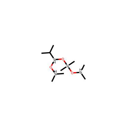 CC(C)[SiH](O[SiH](C)C)O[Si](C)(C)O[SiH](C)C